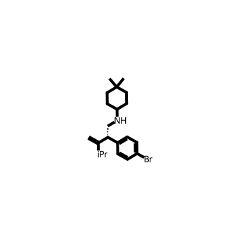 C=C(C(C)C)[C@H](CNC1CCC(C)(C)CC1)c1ccc(Br)cc1